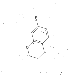 Fc1ccc2c(c1)OCC[C]2